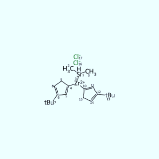 C[SiH](C)[Zr+2]([C]1=CC(C(C)(C)C)=CC1)[C]1=CC(C(C)(C)C)=CC1.[Cl-].[Cl-]